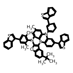 Cc1cc2c3c(c1)N(c1c(C)cc(-c4csc5ccccc45)cc1C)c1oc4ccc(C(C)(C)C)cc4c1B3c1ccc(-c3csc4ccccc34)cc1N2c1cccc(-c2csc3ccccc23)c1